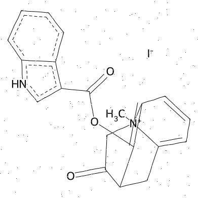 C[N+]12CC(=O)C3CC1=CC=CC2=C3OC(=O)c1c[nH]c2ccccc12.[I-]